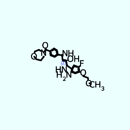 COCCOc1cc(N)c(C(=N)/C(O)=C/C(=N)c2ccc(C(=O)N3CCCOCC3)cc2)cc1F